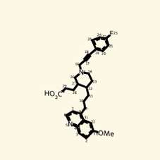 COc1ccc2nccc(CCCC3CCN(CC#Cc4ccc(F)cc4)CC3CCC(=O)O)c2c1